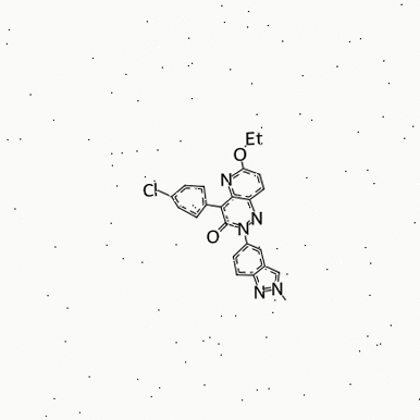 CCOc1ccc2nn(-c3ccc4nn(C)cc4c3)c(=O)c(-c3ccc(Cl)cc3)c2n1